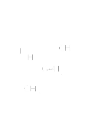 C[CH2][GeH2][CH2]C.[H-].[H-]